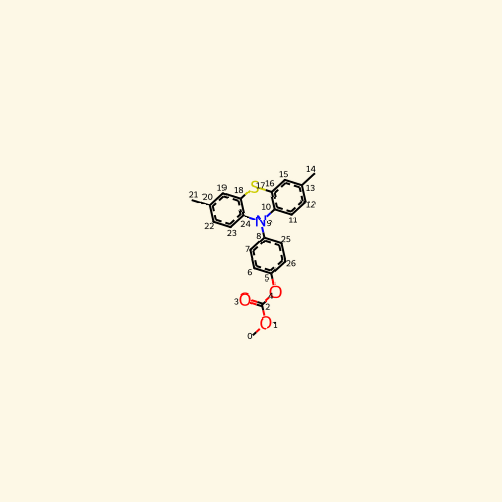 COC(=O)Oc1ccc(N2c3ccc(C)cc3Sc3cc(C)ccc32)cc1